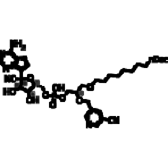 CCCCCCCCCCCCCCCCCCOC[C@H](COP(=O)(O)OC[C@H]1O[C@@](C#N)(c2ccc3c(N)ncnn23)[C@H](O)[C@@H]1O)OCc1cncc(C#N)c1